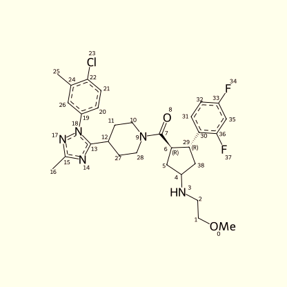 COCCNC1C[C@@H](C(=O)N2CCC(c3nc(C)nn3-c3ccc(Cl)c(C)c3)CC2)[C@H](c2ccc(F)cc2F)C1